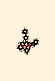 c1ccc(-c2ccc(N(c3ccc4oc5ccccc5c4c3)c3ccccc3-c3cccc4cccc(-c5ccccc5)c34)cc2)cc1